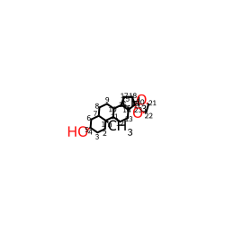 CC12CCC(O)CC1CCC1C2CCC2(C)C1CCC21OCCO1